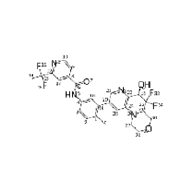 Cc1ccc(NC(=O)c2ccnc(C(C)(F)F)c2)cc1-c1cnc2c(c1)N1CCOCC1C(F)(F)[C@@H]2O